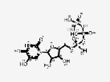 O=c1[nH]c(=O)n(C2OC(COP(=O)(O)OP(=O)(O)OP(=O)(O)O)C(O)C2O)cc1O